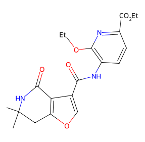 CCOC(=O)c1ccc(NC(=O)c2coc3c2C(=O)NC(C)(C)C3)c(OCC)n1